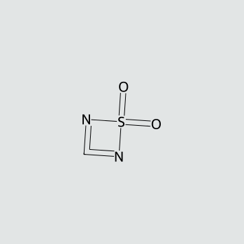 O=S1(=O)N=C=N1